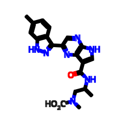 Cc1ccc2c(-c3cnc4[nH]cc(C(=O)NC(C)CN(C)C(=O)O)c4n3)n[nH]c2c1